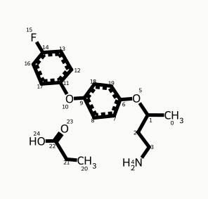 CC(CCN)Oc1ccc(Oc2ccc(F)cc2)cc1.CCC(=O)O